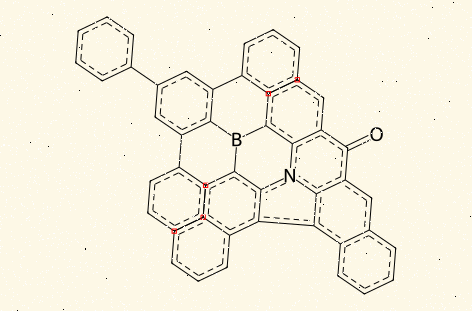 O=c1c2cccc3c2n2c4c(cc5ccccc5c4c4c5ccccc5cc1c42)B3c1c(-c2ccccc2)cc(-c2ccccc2)cc1-c1ccccc1